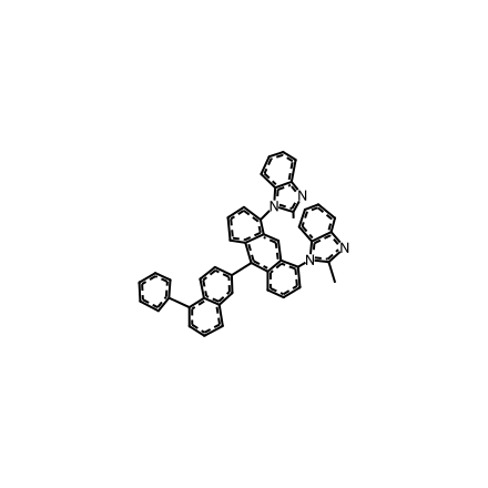 Cc1nc2ccccc2n1-c1cccc2c(-c3ccc4c(-c5ccccc5)cccc4c3)c3cccc(-n4c(C)nc5ccccc54)c3cc12